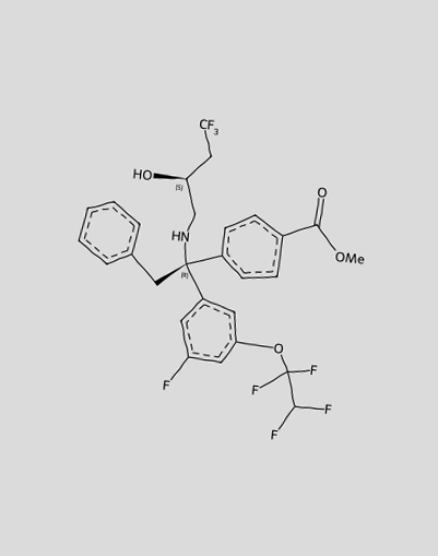 COC(=O)c1ccc([C@@](Cc2ccccc2)(NC[C@@H](O)CC(F)(F)F)c2cc(F)cc(OC(F)(F)C(F)F)c2)cc1